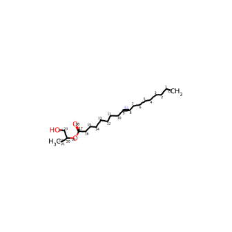 CCCCCCCC/C=C/CCCCCCCC(=O)OC(CC)CO